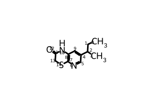 CCC(C)c1cnc2c(c1)NC(=O)CS2